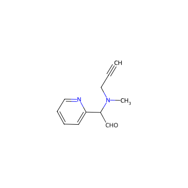 C#CCN(C)C(C=O)c1ccccn1